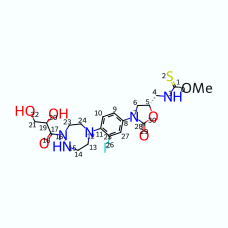 COC(=S)NC[C@H]1CN(c2ccc(N3CCNN(C(=O)[C@H](O)CO)CC3)c(F)c2)C(=O)O1